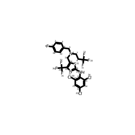 Fc1ccc(CN(CCC(F)(F)F)Cc2sc(Nc3c(Cl)cc(Cl)cc3Cl)nc2C(F)(F)F)cc1